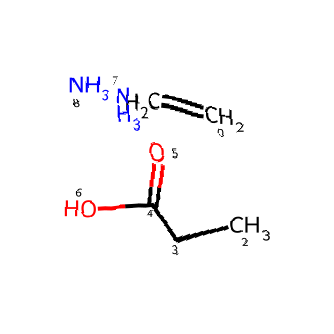 C=C.CCC(=O)O.N.N